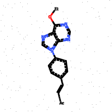 CCOc1ncnc2c1ncn2-c1ccc(/C=C/C(C)=O)cc1